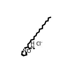 CCCCCCCCCCCCCCCCC(C=[N+]1C=CC=CC1)C(=O)NC.[Cl-]